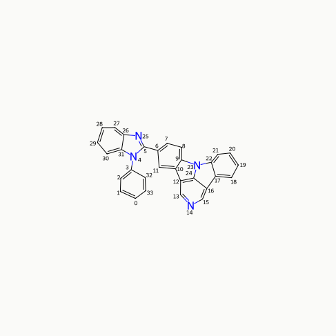 c1ccc(-n2c(-c3ccc4c(c3)c3cncc5c6ccccc6n4c53)nc3ccccc32)cc1